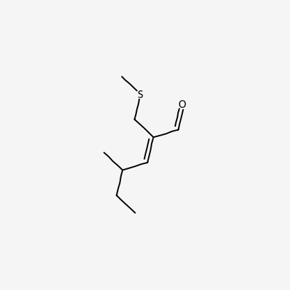 CCC(C)C=C(C=O)CSC